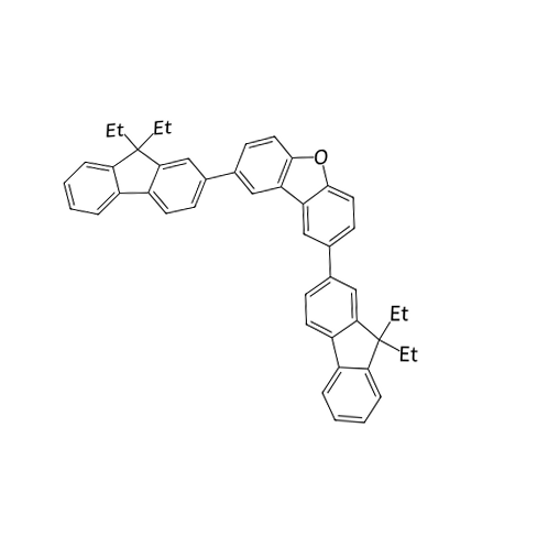 CCC1(CC)c2ccccc2-c2ccc(-c3ccc4oc5ccc(-c6ccc7c(c6)C(CC)(CC)c6ccccc6-7)cc5c4c3)cc21